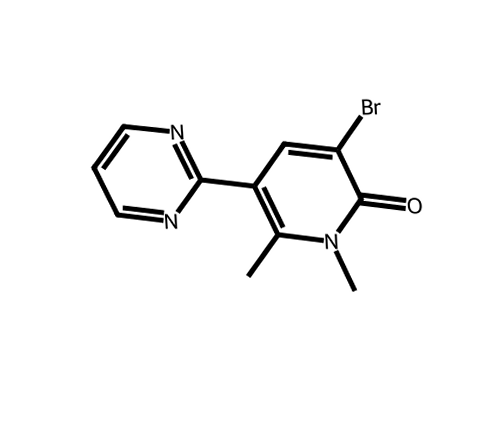 Cc1c(-c2ncccn2)cc(Br)c(=O)n1C